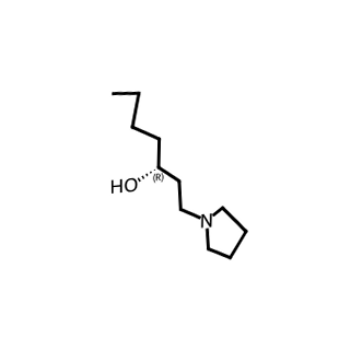 CCCC[C@@H](O)CCN1CCCC1